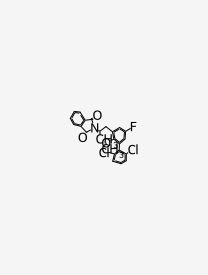 COc1c(C[C](C)N2C(=O)c3ccccc3C2=O)cc(F)cc1-c1c(Cl)cccc1Cl